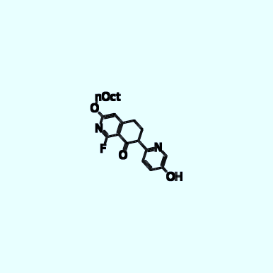 CCCCCCCCOc1cc2c(c(F)n1)C(=O)C(c1ccc(O)cn1)CC2